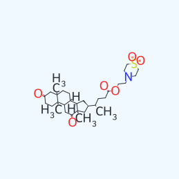 C[C@@H](CCC(=O)OCCN1CCS(=O)(=O)CC1)[C@@H]1C[C@@H]2[C@H]3CC[C@@]4(C)CC(=O)CC[C@@]4(C)C3CC(=O)[C@@]2(C)C1